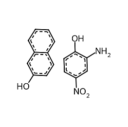 Nc1cc([N+](=O)[O-])ccc1O.Oc1ccc2ccccc2c1